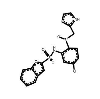 O=S(=O)(Nc1cc(Cl)ccc1[S+]([O-])Cc1ncc[nH]1)c1cc2ccccc2o1